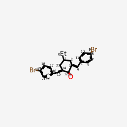 CCC1C/C(=C\c2ccc(Br)cc2)C(=O)/C(=C/c2ccc(Br)cc2)C1